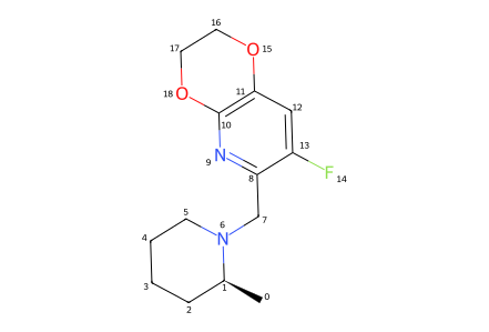 C[C@H]1CCCCN1Cc1nc2c(cc1F)OCCO2